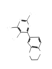 N#Cc1c(N)nc(N)nc1-c1ccc2c(c1)OCCO2